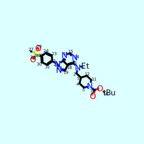 CCN(CC1CCN(C(=O)OC(C)(C)C)CC1)c1ncnc2c1cnn2-c1ccc(S(C)(=O)=O)cc1